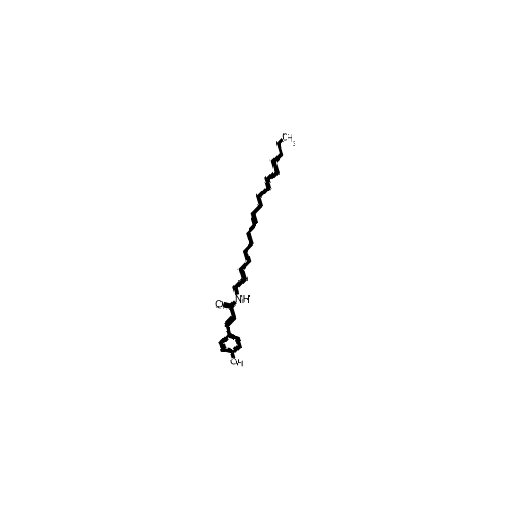 CCCCCCCCCC=CCCCCCCCNC(=O)C=Cc1ccc(O)cc1